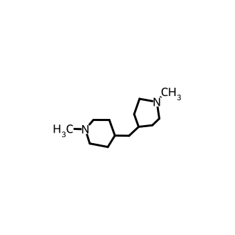 CN1CCC(CC2CCN(C)CC2)CC1